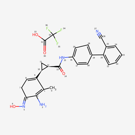 CC1=C(N)C(=NO)CC=C1[C@H]1C[C@H]1C(=O)Nc1ccc(-c2ccccc2C#N)cc1.O=C(O)C(F)(F)F